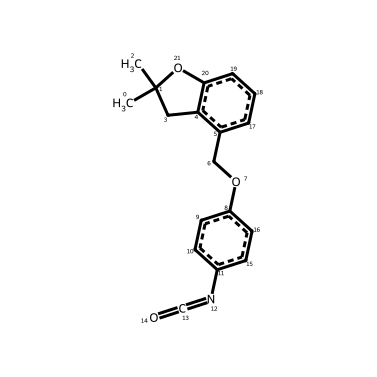 CC1(C)Cc2c(COc3ccc(N=C=O)cc3)cccc2O1